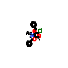 CC(=O)N(C)[C@@H]1[C@@H](OCc2ccccc2)[C@@H](Cl)O[C@H](C)[C@H]1OCc1ccccc1